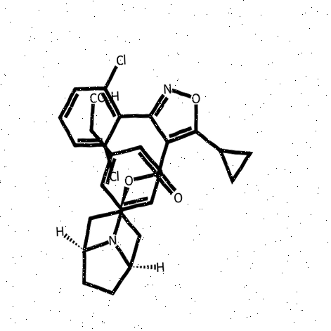 O=C(O)Cc1cccc(N2[C@@H]3CC[C@H]2C[C@@H](OC(=O)c2c(-c4c(Cl)cccc4Cl)noc2C2CC2)C3)c1